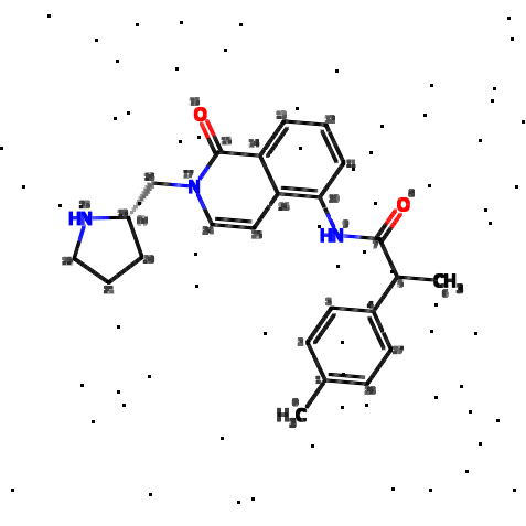 Cc1ccc(C(C)C(=O)Nc2cccc3c(=O)n(C[C@@H]4CCCN4)ccc23)cc1